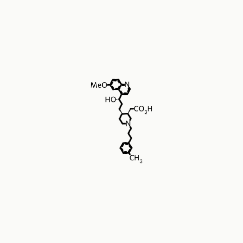 COc1ccc2nccc([C@@H](O)CC[C@@H]3CCN(CCCc4cccc(C)c4)C[C@@H]3CC(=O)O)c2c1